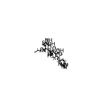 CCCON=C(C(=O)N[C@@H]1C(=O)N2C(C(=O)O)=C(CSc3ccc4nnnn4n3)CS[C@@H]12)c1csc(=N)n1O